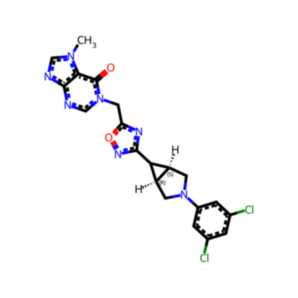 Cn1cnc2ncn(Cc3nc(C4[C@H]5CN(c6cc(Cl)cc(Cl)c6)C[C@@H]45)no3)c(=O)c21